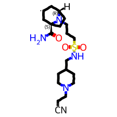 N#CCCN1CCC(CNS(=O)(=O)CCCN2[C@@H]3C[CH]C[C@@]2(C(N)=O)CC3)CC1